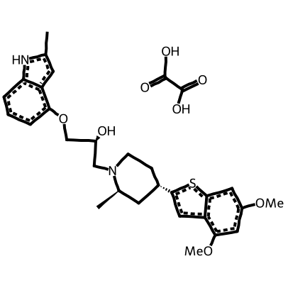 COc1cc(OC)c2cc([C@H]3CCN(C[C@H](O)COc4cccc5[nH]c(C)cc45)[C@H](C)C3)sc2c1.O=C(O)C(=O)O